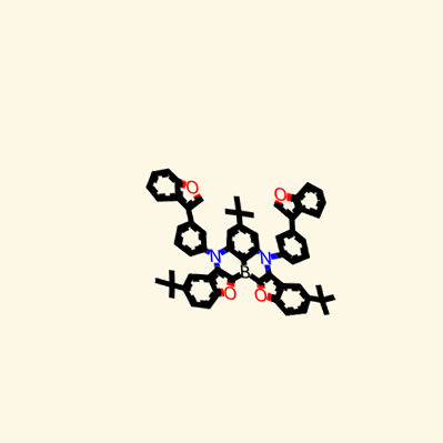 CC(C)(C)c1cc2c3c(c1)N(c1cccc(-c4coc5ccccc45)c1)c1c(oc4ccc(C(C)(C)C)cc14)B3c1oc3ccc(C(C)(C)C)cc3c1N2c1cccc(-c2coc3ccccc23)c1